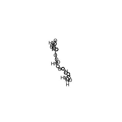 C[C@@H]1CNc2c(sc3ccc4nc(-c5cccc(OC6CCC(NC(=O)COCCOCCc7cccc8c7n(C)c(=O)n8C7CCC(=O)NC7=O)CC6)c5)ccc4c23)C(=O)N1